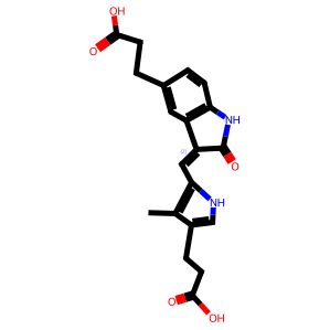 Cc1c(CCC(=O)O)c[nH]c1/C=C1\C(=O)Nc2ccc(CCC(=O)O)cc21